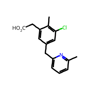 Cc1cccc(Cc2cc(Cl)c(C)c(CC(=O)O)c2)n1